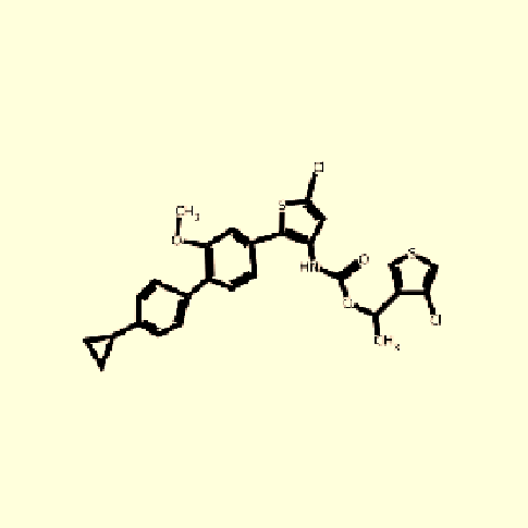 COc1cc(-c2sc(Cl)cc2NC(=O)OC(C)c2cscc2Cl)ccc1-c1ccc(C2CC2)cc1